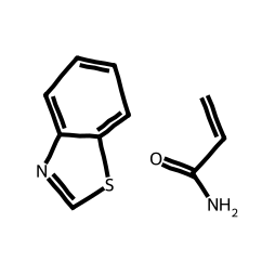 C=CC(N)=O.c1ccc2scnc2c1